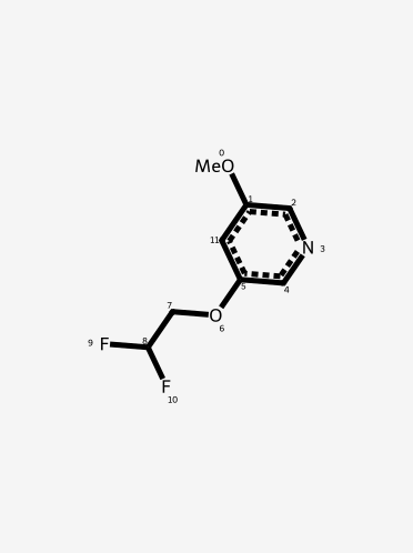 COc1cncc(OCC(F)F)c1